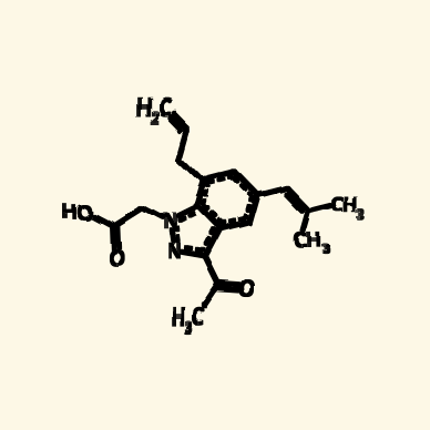 C=CCc1cc(C=C(C)C)cc2c(C(C)=O)nn(CC(=O)O)c12